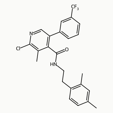 Cc1ccc(CCNC(=O)c2c(-c3cccc(C(F)(F)F)c3)cnc(Cl)c2C)c(C)c1